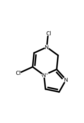 ClC1=CN(Cl)CC2=NC=C[N+]12